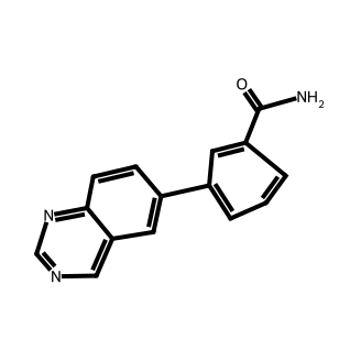 NC(=O)c1cccc(-c2ccc3ncncc3c2)c1